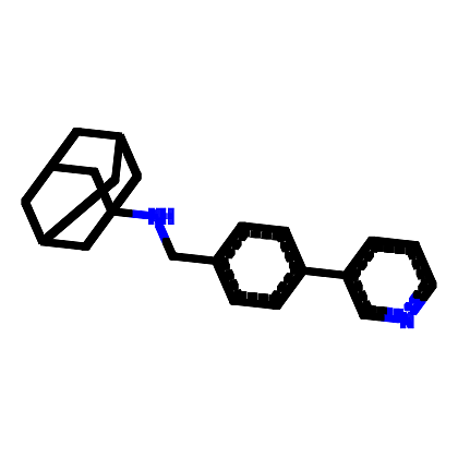 c1cncc(-c2ccc(CNC34CC5CC(CC(C5)C3)C4)cc2)c1